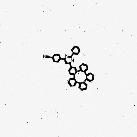 N#Cc1ccc(-c2cc(-c3ccc4c5ccccc5c5ccccc5c5ccccc5c5ccccc5c4c3)nc(-c3ccccc3)n2)cc1